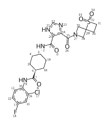 O=C(N[C@H]1CC[C@H](C(=O)Nc2ccc(F)cc2Cl)CC1)c1[nH]cnc1C(=O)N1CC2(CCS2(=O)=O)C1